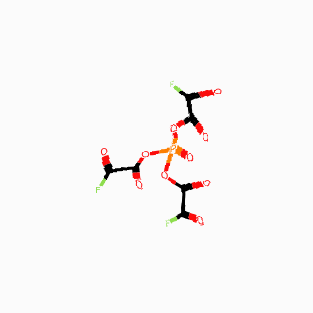 O=C(F)C(=O)OP(=O)(OC(=O)C(=O)F)OC(=O)C(=O)F